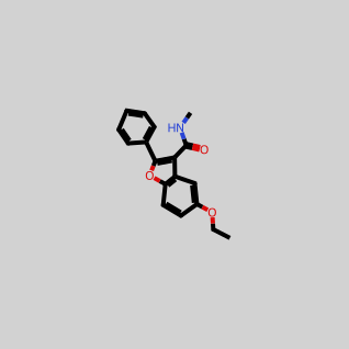 CCOc1ccc2oc(-c3ccccc3)c(C(=O)NC)c2c1